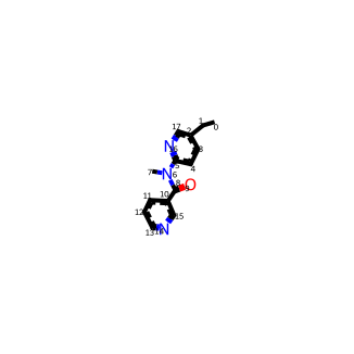 CCc1ccc(N(C)C(=O)c2cccnc2)nc1